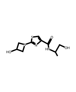 CC(CO)NC(=O)c1csc(N2CC(O)C2)n1